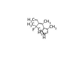 C=C/C(=C(\C)c1n[nH]cc1C)C(C)(C)F